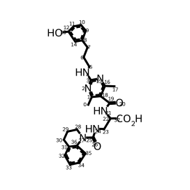 Cc1nc(NCCCc2cccc(O)c2)nc(C)c1C(=O)NC(CNC(=O)N1CCCc2ccccc21)C(=O)O